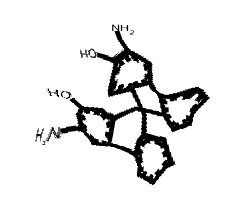 Nc1cc2c(cc1O)C1(c3ccccc3-2)c2ccccc2-c2cc(N)c(O)cc21